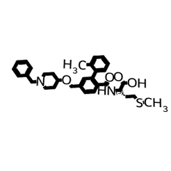 CSCC[C@H](NC(=O)c1ccc(COC2CCN(Cc3ccccc3)CC2)cc1-c1ccccc1C)C(=O)O